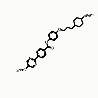 CCCCCc1cnc(-c2ccc(C(=O)Oc3ccc(OCCCC4CCC(CCCCC)CC4)cc3)cc2)nc1